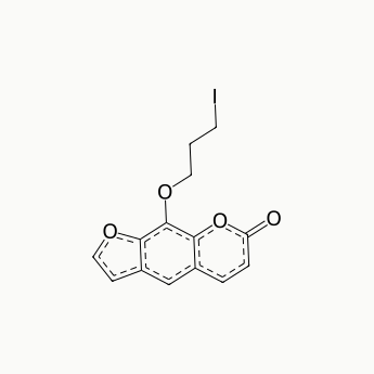 O=c1ccc2cc3ccoc3c(OCCCI)c2o1